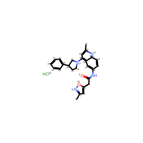 Cc1cc(CC(=O)Nc2ccc3nc(C)cc(N4CCC(c5ccccc5)C4)c3c2)on1.Cl